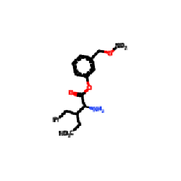 CC(C)CC(CC(=O)O)[C@H](N)C(=O)Oc1cccc(CO[N+](=O)[O-])c1